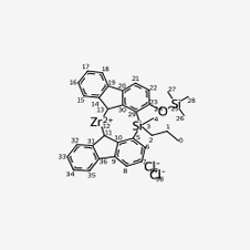 CCC[Si]1(C)c2cccc3c2[CH]([Zr+2][CH]2c4ccccc4-c4ccc(O[Si](C)(C)C)c1c42)c1ccccc1-3.[Cl-].[Cl-]